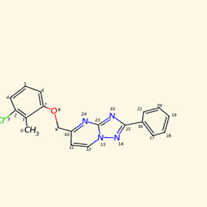 Cc1c(Cl)cccc1OCc1ccn2nc(-c3ccccc3)nc2n1